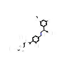 C[C@H](CS(=O)(=O)CC(F)(F)F)NC(=O)c1ccc(/C=C/C(c2cc(Br)cc(OCC(F)(F)F)c2)C(C)(F)F)cc1C(F)(F)F